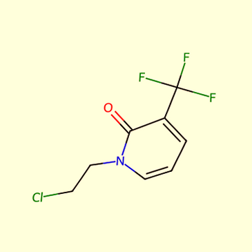 O=c1c(C(F)(F)F)cccn1CCCl